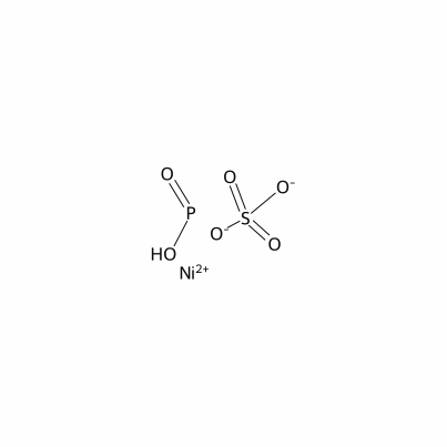 O=PO.O=S(=O)([O-])[O-].[Ni+2]